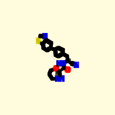 N#C[C@H](Cc1ccc(-c2ccc3scnc3c2)cc1)NC(=O)[C@@H]1CNCCCO1